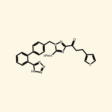 CCCCCc1nc(C(=O)CCc2ccsc2)nn1Cc1ccc(-c2ccccc2-c2nnn[nH]2)cc1